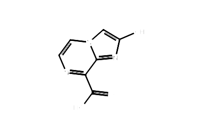 Cc1cn2ccnc(C(=O)O)c2n1